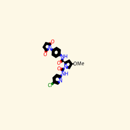 CO[C@@H]1C[C@H](C(=O)Nc2ccc(N3C(=O)CCC3=O)cc2)N(C(=O)Nc2ccc(Cl)cn2)C1